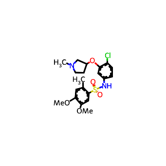 COc1cc(C)c(S(=O)(=O)Nc2ccc(Cl)c(OC3CCN(C)C3)c2)cc1OC